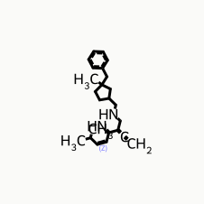 C=C=C(CNCC1CCC(C)(Cc2ccccc2)C1)C(=N)/C=C\C(C)C